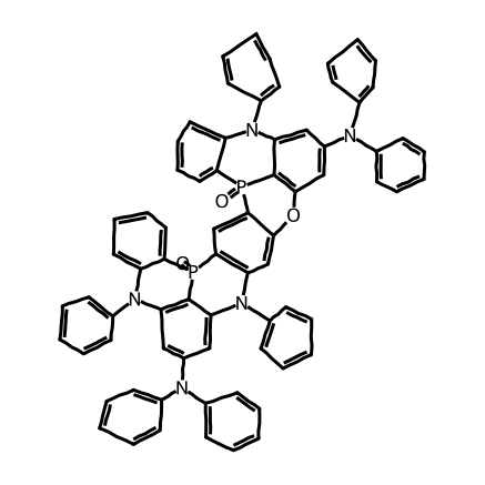 O=P12c3cc4c(cc3Oc3cc(N(c5ccccc5)c5ccccc5)cc(c31)N(c1ccccc1)c1ccccc12)N(c1ccccc1)c1cc(N(c2ccccc2)c2ccccc2)cc2c1P4(=O)c1ccccc1N2c1ccccc1